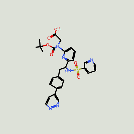 CC(C)(C)OC(=O)N(CC(=O)O)c1cccc(C(Cc2ccc(-c3ccnnc3)cc2)NS(=O)(=O)c2cccnc2)n1